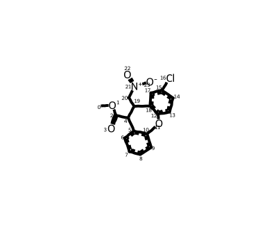 COC(=O)C1c2ccccc2Oc2ccc(Cl)cc2C1C[N+](=O)[O-]